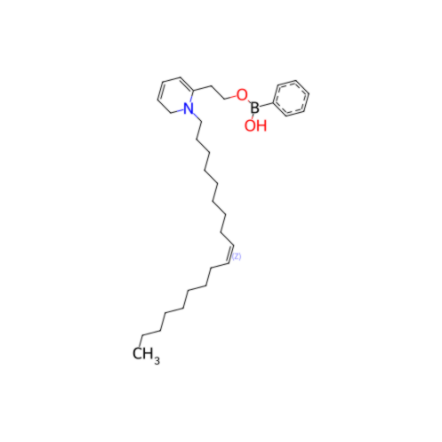 CCCCCCCC/C=C\CCCCCCCCN1CC=CC=C1CCOB(O)c1ccccc1